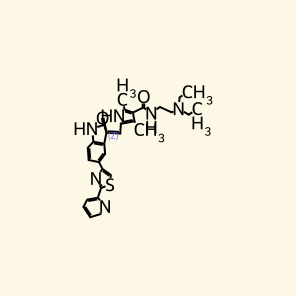 CCN(CC)CCNC(=O)c1c(C)[nH]c(/C=C2\C(=O)Nc3ccc(-c4csc(-c5ccccn5)n4)cc32)c1C